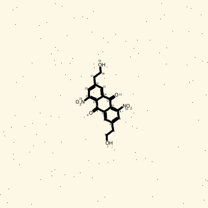 O=C1c2cc(CCO)cc([N+](=O)[O-])c2C(=O)c2cc(CCO)cc([N+](=O)[O-])c21